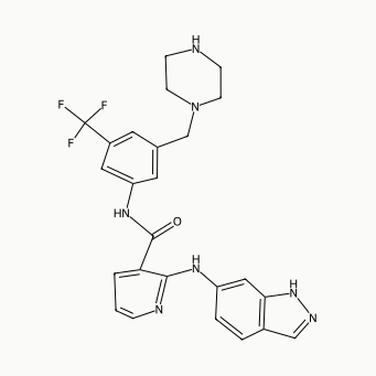 O=C(Nc1cc(CN2CCNCC2)cc(C(F)(F)F)c1)c1cccnc1Nc1ccc2cn[nH]c2c1